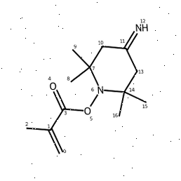 C=C(C)C(=O)ON1C(C)(C)CC(=N)CC1(C)C